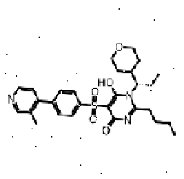 CCCCc1nc(=O)c(S(=O)(=O)c2ccc(-c3ccncc3C)cc2)c(O)n1[C@@H](CC)C1CCOCC1